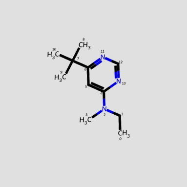 CCN(C)c1cc(C(C)(C)C)ncn1